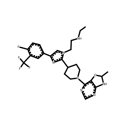 CCNCCn1cc(-c2ccc(F)c(C(F)(F)F)c2)nc1C1CCN(c2ncnc3c2OC(C)N3)CC1